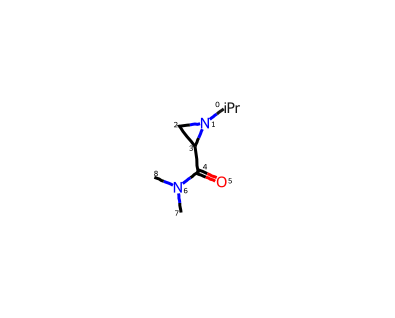 CC(C)N1CC1C(=O)N(C)C